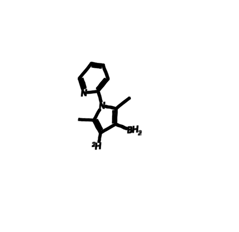 [2H]c1c(B)c(C)n(-c2ccccn2)c1C